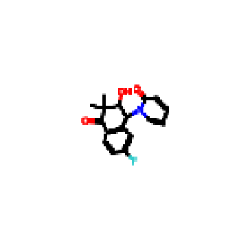 CC1(C)C(=O)c2ccc(F)cc2C(n2ccccc2=O)C1O